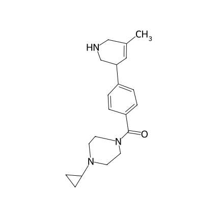 CC1=CC(c2ccc(C(=O)N3CCN(C4CC4)CC3)cc2)CNC1